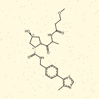 COCCC(=O)NC(C)C(=O)N1C[C@H](O)C[C@H]1C(=O)NCc1ccc(-c2scnc2C)cc1